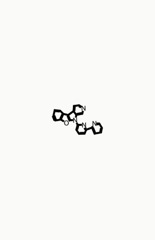 c1ccc2c(c#1)oc1c2c2ccncc2n1-c1cccc(-c2ccccn2)n1